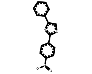 O=[N+]([O-])c1ccc(-c2nc(-c3ccccc3)co2)cc1